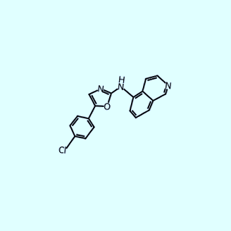 Clc1ccc(-c2cnc(Nc3cccc4cnccc34)o2)cc1